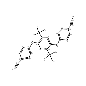 CC(C)(C)c1cc(Oc2ccc(C#N)cc2)c(C(C)(C)C)cc1Oc1ccc(C#N)cc1